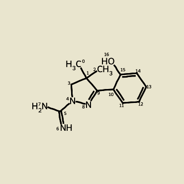 CC1(C)CN(C(=N)N)N=C1c1ccccc1O